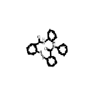 O=C(Nc1ccccc1)c1ccccc1SSc1ccccc1C(=O)Nc1ccccc1